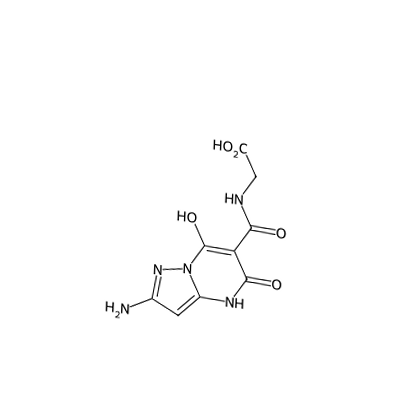 Nc1cc2[nH]c(=O)c(C(=O)NCC(=O)O)c(O)n2n1